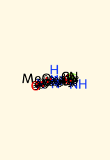 COc1cc(Nc2nccc(-c3ccc(OC4CCNCC4(F)F)c(C#N)c3)n2)ccc1C1CCN(C2COC2)CC1